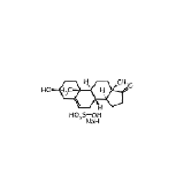 C[C@]12CC[C@H](O)CC1=CC[C@@H]1[C@@H]2CC[C@]2(C)C(=O)CC[C@@H]12.O=S(=O)(O)O.[NaH]